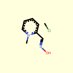 CCl.C[n+]1ccccc1C=NO